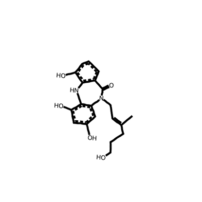 C/C(=C\CN1C(=O)c2cccc(O)c2Nc2c(O)cc(O)cc21)CCCO